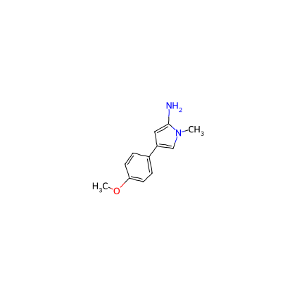 COc1ccc(-c2cc(N)n(C)c2)cc1